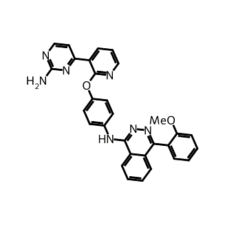 COc1ccccc1-c1nnc(Nc2ccc(Oc3ncccc3-c3ccnc(N)n3)cc2)c2ccccc12